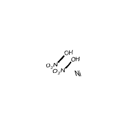 O=[N+]([O-])O.O=[N+]([O-])O.[Ni]